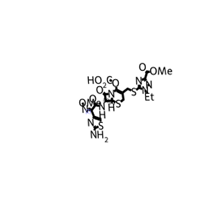 CCn1nc(C(=O)OC)nc1SCC1=C(OC(=O)O)N2C(=O)[C@@H](NC(=O)/C(=N\OC)c3csc(N)n3)[C@H]2SC1